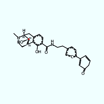 CN1CC[C@]23CCCC[C@@]2(O)[C@H]1Cc1ccc(C(=O)NCCc2ccc(C4=CC(=O)CC=C4)cc2)c(O)c13